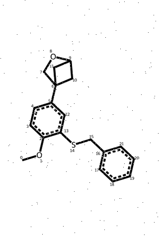 COc1ccc(C23COC(C2)C3)cc1SCc1ccccc1